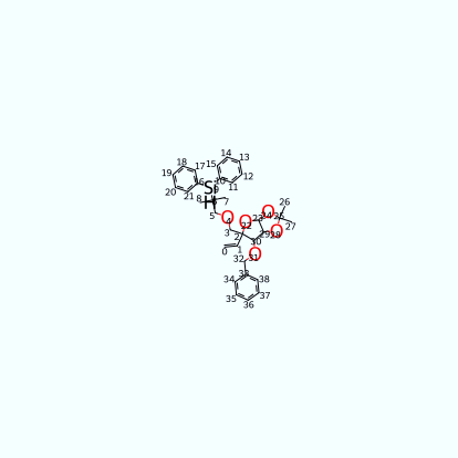 C=CC1(COCC(C)(C)[SiH](c2ccccc2)c2ccccc2)OC2OC(C)(C)OC2C1OCc1ccccc1